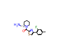 Cc1ccc(-c2csc(C(=O)N3CCCC[C@H]3CN)n2)c(F)c1